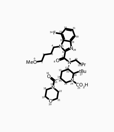 COCCCCn1c(C(=O)N(CC(C)C)[C@H]2C[C@@H](C(=O)N3CCOCC3)CN(C(=O)O)C2C(C)(C)C)nc2cccc(F)c21